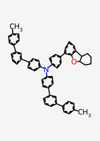 Cc1ccc(-c2cccc(-c3ccc(N(c4ccc(-c5cccc(-c6ccc(C)cc6)c5)cc4)c4ccc(-c5cccc6c5OC5CCCCC65)cc4)cc3)c2)cc1